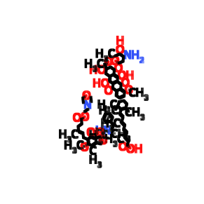 CC1=C(/C=C/C(C)=C/C=C/C(C)=C/C(=O)O)C(C)(C)CCC1.CN[C@@H](C)Cc1ccccc1.COc1c(C)c2c(c(O)c1C/C=C(\C)CCC(=O)OCCN1CCOCC1)C(=O)OC2.COc1cccc2c1C(=O)c1c(O)c3c(c(O)c1C2=O)C[C@@](O)(C(C)=O)C[C@@H]3O[C@H]1C[C@H](N)[C@H](O)[C@H](C)O1